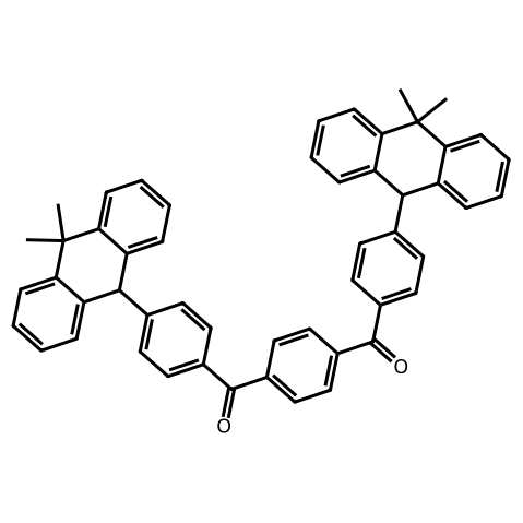 CC1(C)c2ccccc2C(c2ccc(C(=O)c3ccc(C(=O)c4ccc(C5c6ccccc6C(C)(C)c6ccccc65)cc4)cc3)cc2)c2ccccc21